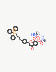 CCNC(=O)Oc1ccc2c(=O)cc(-c3ccc(CCCC[PH](c4ccccc4)(c4ccccc4)c4ccccc4)cc3)oc2c1OC(=O)NCC